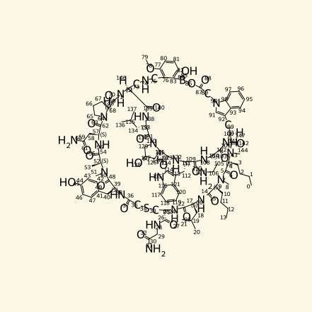 CCCC[C@H]1C(=O)N(C)[C@@H](CCCC)C(=O)N[C@@H](CC(C)C)C(=O)N[C@H](C(=O)NCC(N)=O)CSCC(=O)N[C@@H](Cc2ccc(O)cc2)C(=O)N(C)[C@@H](C)C(=O)N[C@@H](CC(N)=O)C(=O)N2CCC[C@H]2C(=O)N[C@H]2CNCc3c(OC)cccc3B(O)OC(=O)Cn3cc(c4ccccc43)C[C@H](NC(=O)[C@H](CCN)NC(=O)[C@H](Cc3c[nH]c4ccccc34)NC(=O)[C@@H]3C[C@@H](O)CN3C(=O)[C@H](CC(C)C)NC2=O)C(=O)N1C